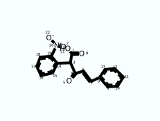 O=C(O)C(C(=O)/C=C/c1ccccc1)c1ccccc1[N+](=O)[O-]